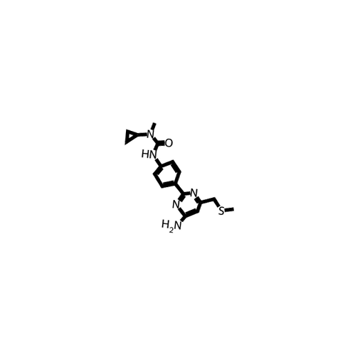 CSCc1cc(N)nc(-c2ccc(NC(=O)N(C)C3CC3)cc2)n1